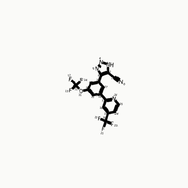 N#Cc1[nH]nnc1-c1cc(OC(F)(F)F)cc(-c2cc(C(F)(F)F)ccn2)c1